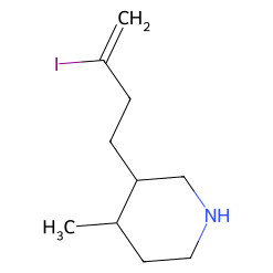 C=C(I)CCC1CNCCC1C